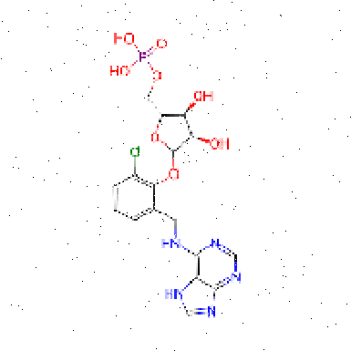 O=P(O)(O)OC[C@H]1OC(Oc2c(Cl)cccc2CNc2ncnc3nc[nH]c23)[C@H](O)[C@@H]1O